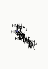 N=C(N)NCC/C=C(\NC(=O)[C@H](CCCCN)NC(=O)[C@H](Cc1cnc[nH]1)NC(=O)[C@@H]1CCCN1C(=O)[C@@H](CCCN)NC(=O)CNC(=O)[C@H](CN)NC(=O)CC(O)CN)C(=O)O